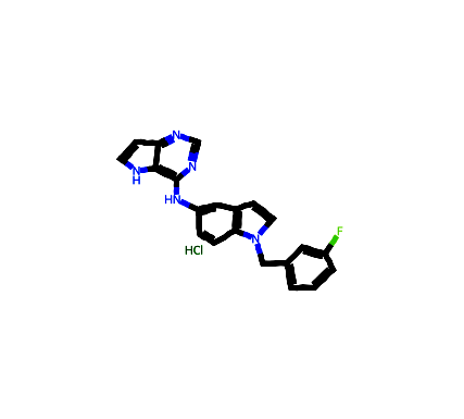 Cl.Fc1cccc(Cn2ccc3cc(Nc4ncnc5cc[nH]c45)ccc32)c1